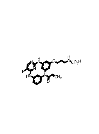 C=CC(=O)Nc1cccc(Nc2nc(Nc3cccc(OCCCNC(=O)O)c3)ncc2F)c1